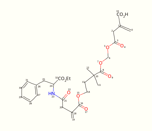 C=C(CC(=O)OCOC(=O)C(C)(C)CCOC(=O)C(=C)CC(=O)NC(Cc1ccccc1)C(=O)OCC)C(=O)O